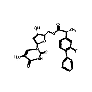 Cc1cn([C@H]2C[C@H](O)[C@@H](COC(=O)[C@H](C)c3ccc(-c4ccccc4)c(F)c3)O2)c(=O)[nH]c1=O